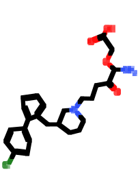 NC(OCC(=O)O)C(=O)CCCN1CCCC(Cc2ccccc2-c2ccc(Cl)cc2)C1